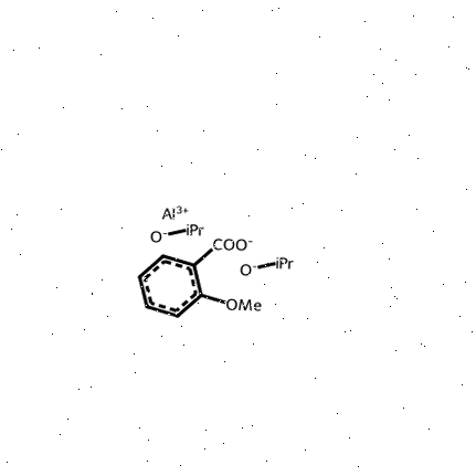 CC(C)[O-].CC(C)[O-].COc1ccccc1C(=O)[O-].[Al+3]